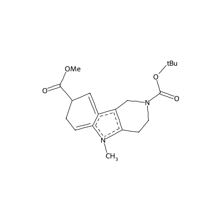 COC(=O)C1C=c2c3c(n(C)c2=CC1)CCN(C(=O)OC(C)(C)C)C3